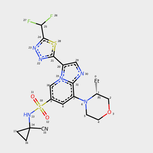 CC[C@@H]1COCCN1c1cc(S(=O)(=O)NC2(C#N)CC2)cn2c(-c3nnc(C(F)F)s3)cnc12